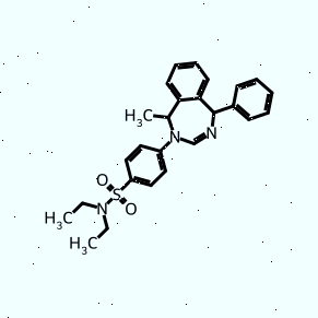 CCN(CC)S(=O)(=O)c1ccc(N2C=NC(c3ccccc3)c3ccccc3C2C)cc1